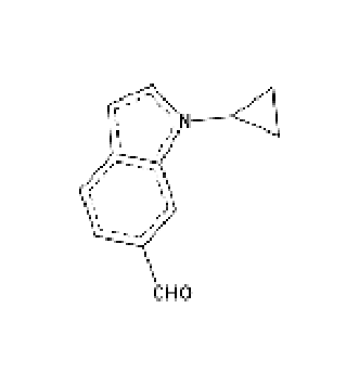 O=Cc1ccc2ccn(C3CC3)c2c1